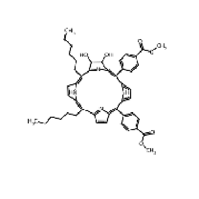 CCCCCCc1c2nc(c(-c3ccc(C(=O)OC)cc3)c3ccc([nH]3)c(-c3ccc(C(=O)OC)cc3)c3nc(c(CCCCCC)c4ccc1[nH]4)C(O)C3O)C=C2